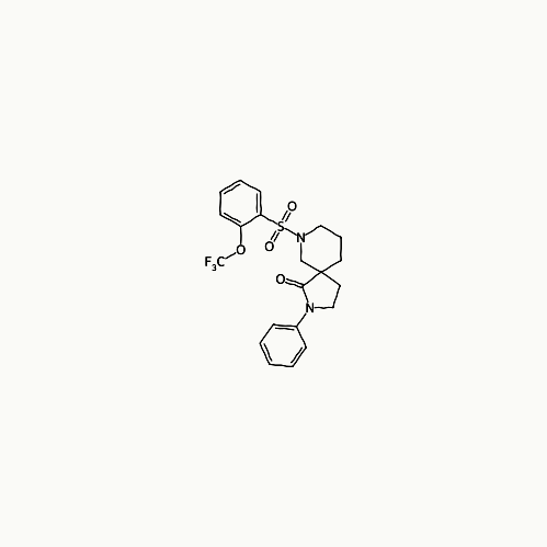 O=C1N(c2ccccc2)CCC12CCCN(S(=O)(=O)c1ccccc1OC(F)(F)F)C2